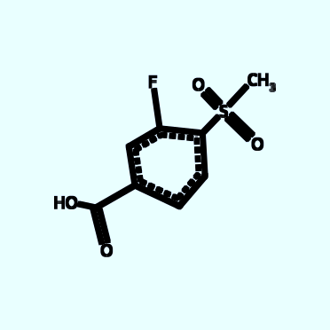 CS(=O)(=O)c1ccc(C(=O)O)cc1F